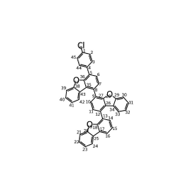 Clc1ccc(-c2ccc(-c3ccc(-c4cccc5c4oc4ccccc45)c4c3oc3ccccc34)c3c2oc2ccccc23)cc1